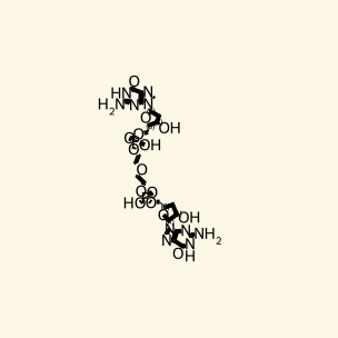 Nc1nc2c(ncn2[C@@H]2C[C@H](O)[C@H](COP(=O)(O)OCCOCCOP(=O)(O)OC[C@@H]3C[C@H](O)[C@H](n4cnc5c(=O)[nH]c(N)nc54)O3)O2)c(=O)[nH]1